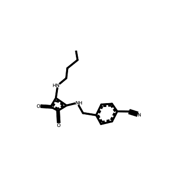 CCCCNc1c(NCc2ccc(C#N)cc2)c(=O)c1=O